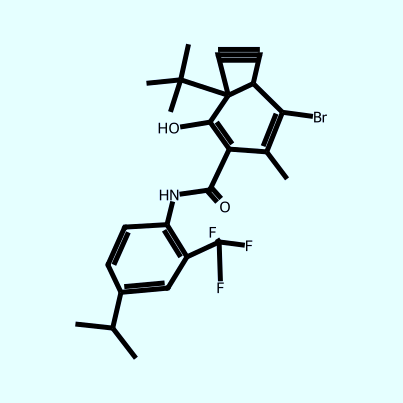 CC1=C(Br)C2C#CC2(C(C)(C)C)C(O)=C1C(=O)Nc1ccc(C(C)C)cc1C(F)(F)F